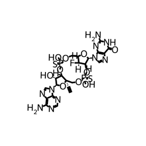 C#C[C@@]12COP(O)(=S)O[C@@H]3[C@@H](F)[C@@H](COP(O)(=S)O[C@H]1[C@@H](O)[C@H](n1cnc4c(N)ncnc41)O2)O[C@H]3n1cnc2c(=O)[nH]c(N)nc21